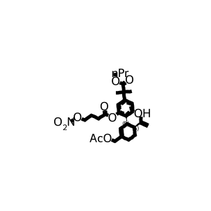 C=C(C)[C@H]1CCC(COC(C)=O)=C[C@@H]1c1c(O)cc(C(C)(C)C(=O)OCCC)cc1OC(=O)CCCO[N+](=O)[O-]